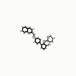 Fc1cccc(-c2ccc(OCc3ccc4ccccc4n3)cc2)c1OC1CCCCO1